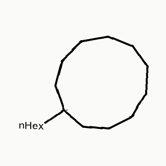 CCCCCC[C]1CCCCCCCCCC1